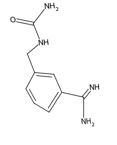 N=C(N)c1cccc(CNC(N)=O)c1